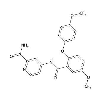 NC(=O)c1cc(NC(=O)c2cc(OC(F)(F)F)ccc2Oc2ccc(OC(F)(F)F)cc2)ccn1